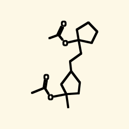 CC(=O)OC1(C)CCC(CCC2(OC(C)=O)CCCC2)C1